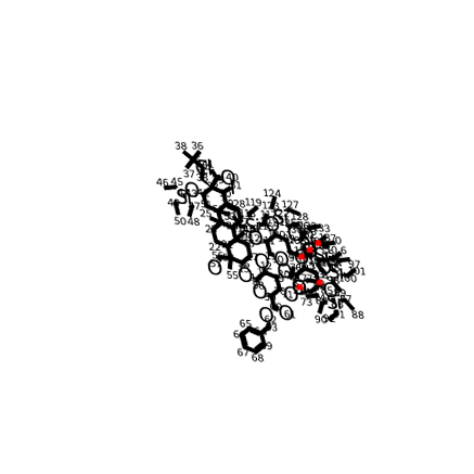 CC[Si](CC)(CC)OCC1O[C@@H](OC2[C@H](O[C@H]3CCC4(C)C(CCC5(C)C4CC=C4C(I)[C@@](CCC(C)(C)C)(C(=O)Cl)[C@@H](O[Si](CC)(CC)CC)CC45C)C3(C)C=O)OC(C(=O)OCc3ccccc3)[C@@H](O[Si](CC)(CC)CC)[C@@H]2O[C@@H]2OC[C@@H](O[Si](CC)(CC)CC)C(O[Si](CC)(CC)CC)C2O[Si](CC)(CC)CC)C(O[Si](CC)(CC)CC)C(O[Si](CC)(CC)CC)[C@H]1O[Si](CC)(CC)CC